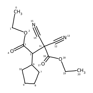 CCOC(=O)C(C1CCCC1)C(C#N)(C#N)C(=O)OCC